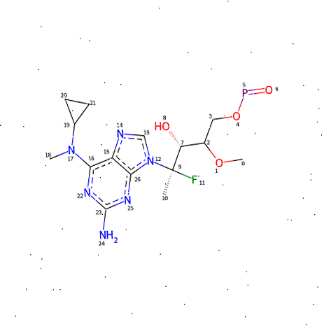 COC(COP=O)[C@@H](O)[C@@](C)(F)n1cnc2c(N(C)C3CC3)nc(N)nc21